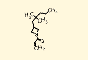 C=CC(=O)N1CC(CC(C)(C)CCC)C1